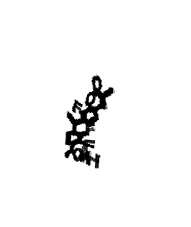 CC1Cc2ccc(C(C)c3ccc(C(C)O)c(F)c3F)c(F)c2OC1=O